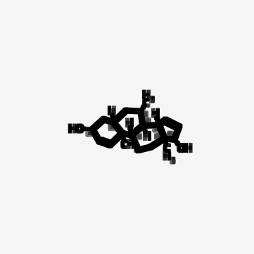 C[C@H]1C[C@@H]2C[C@@H](O)C=C[C@]2(C)[C@H]2CC[C@]3(C)[C@@H](O)C=C[C@H]3[C@H]12